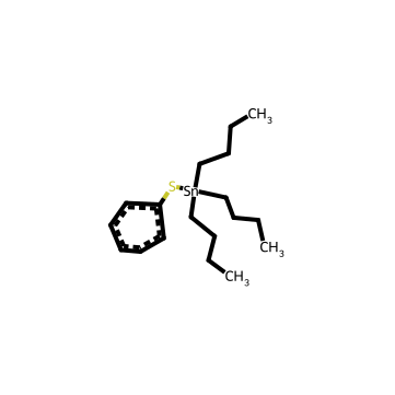 CCC[CH2][Sn]([CH2]CCC)([CH2]CCC)[S]c1ccccc1